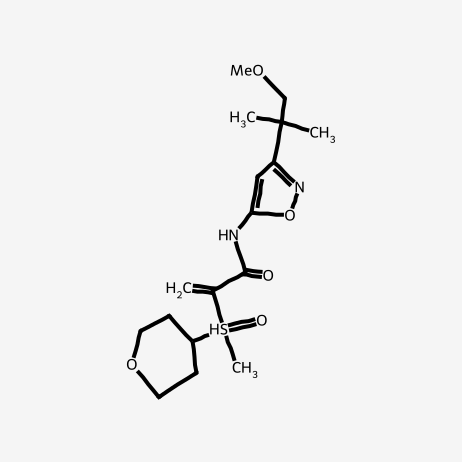 C=C(C(=O)Nc1cc(C(C)(C)COC)no1)[SH](C)(=O)C1CCOCC1